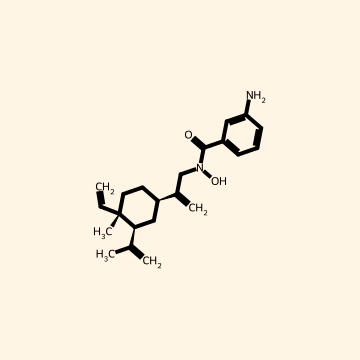 C=C[C@]1(C)CC[C@@H](C(=C)CN(O)C(=O)c2cccc(N)c2)C[C@H]1C(=C)C